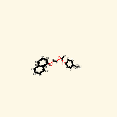 CCC(C)c1ccc(OC(C)OCCOc2cccc3ccccc23)cc1